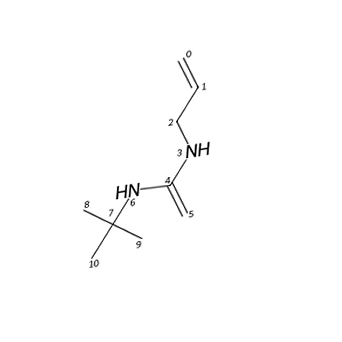 C=CCNC(=C)NC(C)(C)C